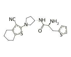 N#Cc1c(N2CC[C@H](NC(=O)[C@@H](N)Cc3cccs3)C2)sc2c1CCCC2